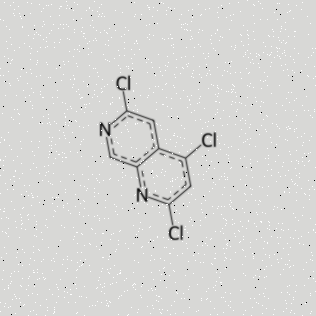 Clc1cc2c(Cl)cc(Cl)nc2cn1